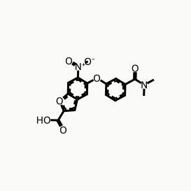 CN(C)C(=O)c1cccc(Oc2cc3cc(C(=O)O)oc3cc2[N+](=O)[O-])c1